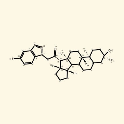 C[C@@]1(O)CC[C@H]2C(CCC3C4[C@@H]5CCC[C@@H]5[C@H](C(=O)Cn5nnc6cc(F)ccc65)[C@@]4(C)CC[C@@H]32)C1